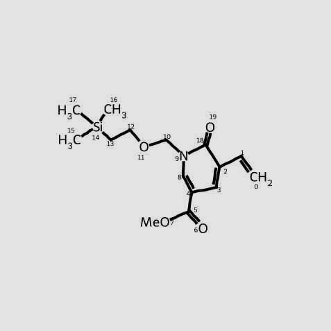 C=Cc1cc(C(=O)OC)cn(COCC[Si](C)(C)C)c1=O